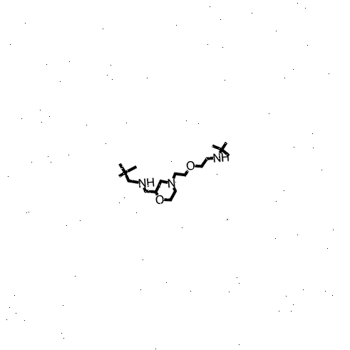 CC(C)(C)CNCC1CN(CCOCCNC(C)(C)C)CCO1